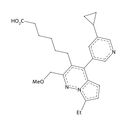 CCc1ccc2c(-c3cncc(C4CC4)c3)c(CCCCCC(=O)O)c(COC)nn12